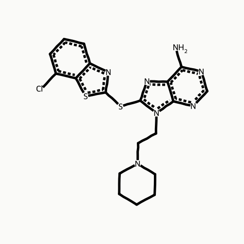 Nc1ncnc2c1nc(Sc1nc3cccc(Cl)c3s1)n2CCN1CCCCC1